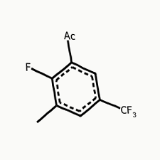 CC(=O)c1cc(C(F)(F)F)cc(C)c1F